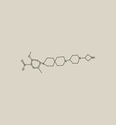 COc1cc(N2CCC3(CC2)CCN(C2CCN(C4CNC4)CC2)CC3)c(C)cc1[N+](=O)[O-]